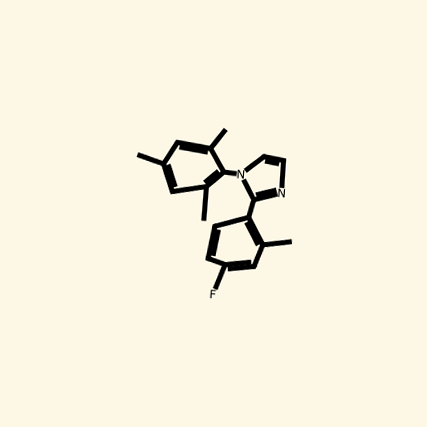 Cc1cc(C)c(-n2ccnc2-c2ccc(F)cc2C)c(C)c1